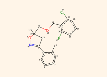 Cc1ccccc1C1=NOC(C)(COCc2c(F)cccc2Cl)C1